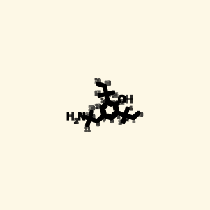 CCC(C)(C)c1cc(CC(C)(C)N)cc(C(C)(C)CC)c1O